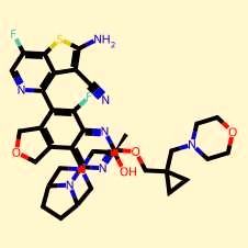 C[C@@H](O)CN1CC2CCC(C1)N2c1nc(OCC2(CN3CCOCC3)CC2)nc2c(F)c(-c3ncc(F)c4sc(N)c(C#N)c34)c3c(c12)COC3